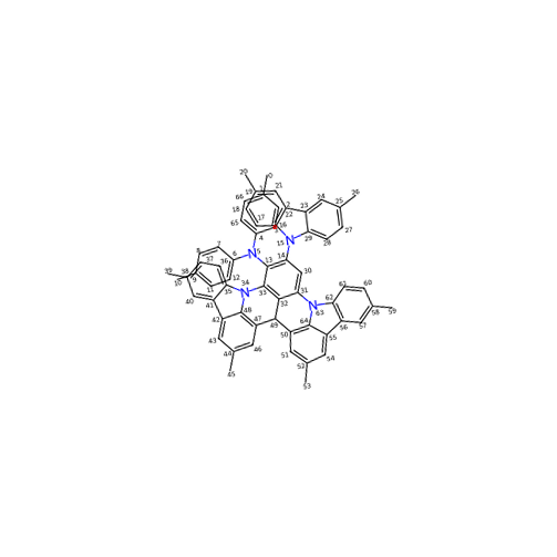 Cc1ccc(N(c2ccc(C)cc2)c2c(-n3c4ccc(C)cc4c4cc(C)ccc43)cc3c4c2-n2c5ccc(C)cc5c5cc(C)cc(c52)C4c2cc(C)cc4c5cc(C)ccc5n-3c24)cc1